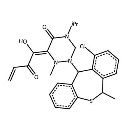 C=CC(=O)/C(O)=C1/C(=O)N(C(C)C)CN(C2c3ccccc3SC(C)c3cccc(Cl)c32)N1C